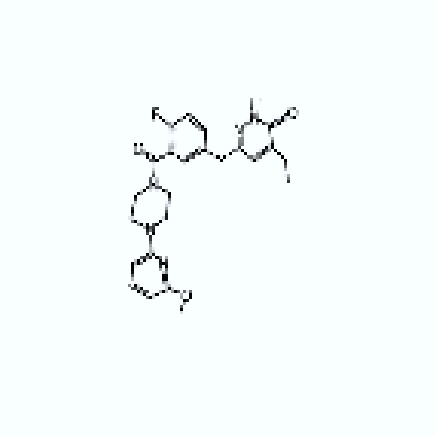 CCc1cc(Cc2ccc(F)c(C(=O)N3CCN(c4cccc(OC)n4)CC3)c2)n[nH]c1=O